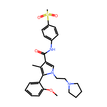 COc1ccccc1-c1c(C)c(C(=O)Nc2ccc(S(C)(=O)=O)cc2)cn1CCN1CCCC1